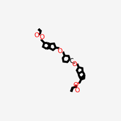 C=CC(=O)OCC1CC2CC1C1CC(COCC3CCCC(COCC4CC5C6CC(COC(=O)C=C)C(C6)C5C4)C3)CC21